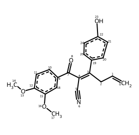 C=CCC(=C(C#N)C(=O)c1ccc(OC)c(OC)c1)c1ccc(O)cc1